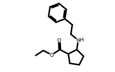 CCOC(=O)C1CCCC1NCCc1ccccc1